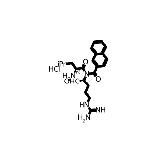 CC(C)C[C@H](N)C(=O)N(C(=O)c1ccc2ccccc2c1)[C@H](C=O)CCCNC(=N)N.Cl